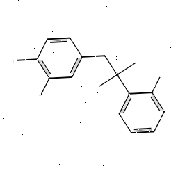 CC(C)c1ccc(CC(C)(C)c2ccccc2F)cc1Cl